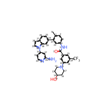 Cc1ccc(NC(=O)c2cc(N3CCC(O)CC3)cc(C(F)(F)F)c2)cc1-c1ccc2ccn(-c3ccnc(N)c3)c2c1